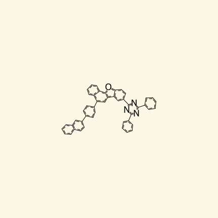 c1ccc(-c2nc(-c3ccccc3)nc(-c3ccc4oc5c6ccccc6c(-c6ccc(-c7ccc8ccccc8c7)cc6)cc5c4c3)n2)cc1